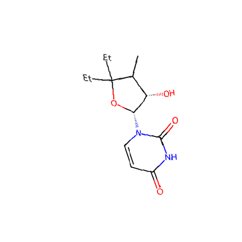 CCC1(CC)O[C@@H](n2ccc(=O)[nH]c2=O)[C@@H](O)C1C